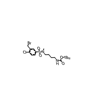 CN(CCCCNC(=O)OC(C)(C)C)S(=O)(=O)c1ccc(Cl)c(CBr)c1